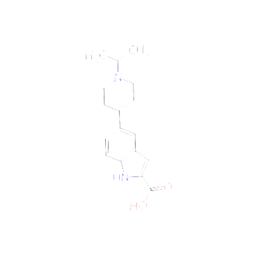 CC(C)N1CC=C(c2ccc3[nH]c(C(=O)O)cc3c2)CC1